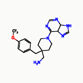 NCC1(Cc2ccc(OC(F)(F)F)cc2)CCN(C2=NC=NC3NC=NC23)CC1